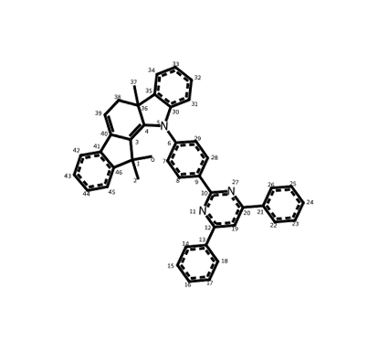 CC1(C)C2=C3N(c4ccc(-c5nc(-c6ccccc6)cc(-c6ccccc6)n5)cc4)c4ccccc4C3(C)CC=C2c2ccccc21